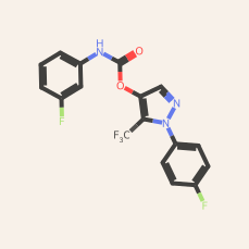 O=C(Nc1cccc(F)c1)Oc1cnn(-c2ccc(F)cc2)c1C(F)(F)F